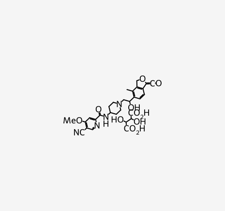 COc1cc(C(=O)NC2CCN(CC(O)c3ccc4c(c3C)COC4=C=O)CC2)ncc1C#N.O=C(O)C(O)C(O)C(=O)O